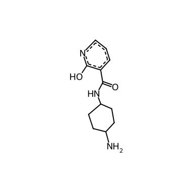 NC1CCC(NC(=O)c2cccnc2O)CC1